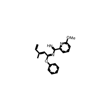 C=C/C(C)=C/C(=N\C(=N)c1cccc(OC)n1)Oc1ccccc1